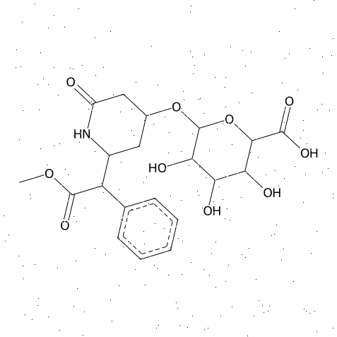 COC(=O)C(c1ccccc1)C1CC(OC2OC(C(=O)O)C(O)C(O)C2O)CC(=O)N1